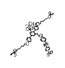 C=CC(=O)OCCCCCCOc1ccc(-c2cc(CCOc3ccc(N=Nc4ccc([N+](=O)[O-])cc4)cc3)c(-c3ccc(OCCCCCCOC(=O)C=C)cc3)c(C(=O)OC(=O)O)c2)cc1